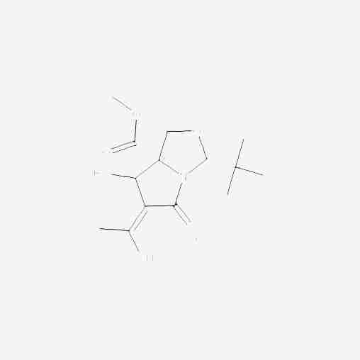 COC(=O)[C@]12CO[C@H](C(C)(C)C)N1C(=O)/C(=C(/C)O)C2O